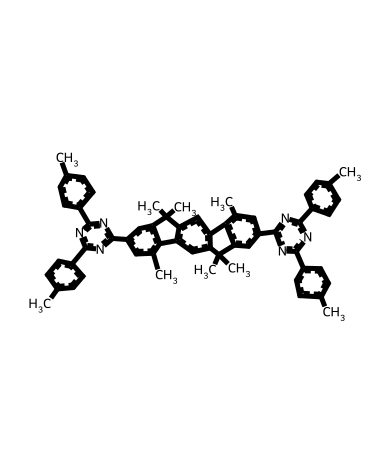 Cc1ccc(-c2nc(-c3ccc(C)cc3)nc(-c3cc(C)c4c(c3)C(C)(C)c3cc5c(cc3-4)C(C)(C)c3cc(-c4nc(-c6ccc(C)cc6)nc(-c6ccc(C)cc6)n4)cc(C)c3-5)n2)cc1